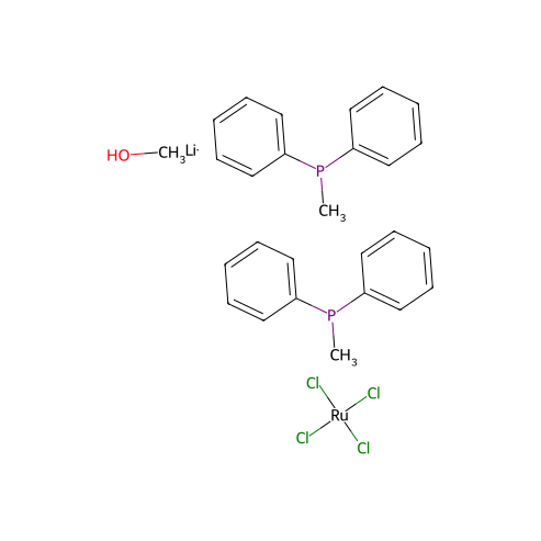 CO.CP(c1ccccc1)c1ccccc1.CP(c1ccccc1)c1ccccc1.[Cl][Ru]([Cl])([Cl])[Cl].[Li]